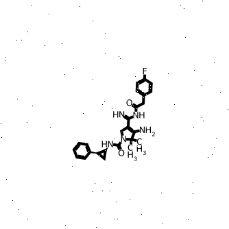 CC1(C)C(N)=C(C(=N)NC(=O)Cc2ccc(F)cc2)CN1C(=O)N[C@@H]1C[C@H]1c1ccccc1